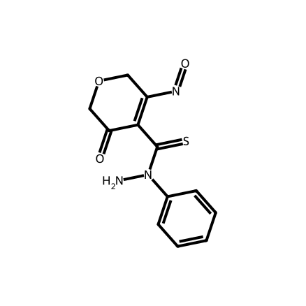 NN(C(=S)C1=C(N=O)COCC1=O)c1ccccc1